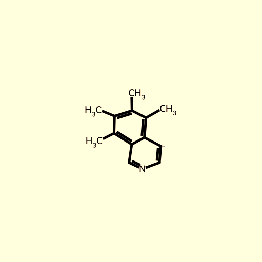 Cc1c(C)c(C)c2cnc[c]c2c1C